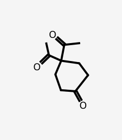 CC(=O)C1(C(C)=O)CCC(=O)CC1